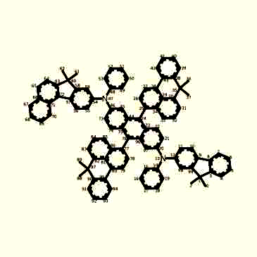 CC1(C)c2ccccc2-c2ccc(N(c3ccccc3)c3ccc4c(-c5ccc6c7c(cccc57)C(C)(C)c5ccccc5-6)c5cc(N(c6ccccc6)c6ccc7c(c6)C(C)(C)c6ccc8ccccc8c6-7)ccc5c(-c5ccc6c7c(cccc57)C(C)(C)c5ccccc5-6)c4c3)cc21